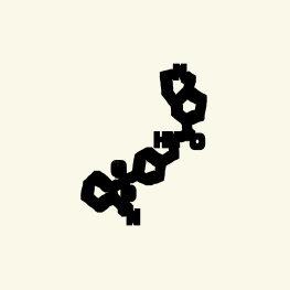 N#Cc1ccccc1S(=O)(=O)c1ccc(CNC(=O)c2ccc3cnccc3c2)cc1